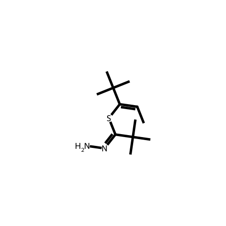 C/C=C(\S/C(=N\N)C(C)(C)C)C(C)(C)C